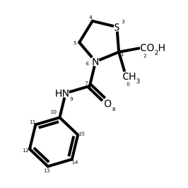 CC1(C(=O)O)SCCN1C(=O)Nc1ccccc1